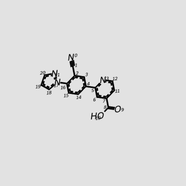 N#Cc1cc(-c2cc(C(=O)O)ccn2)ccc1-n1cccn1